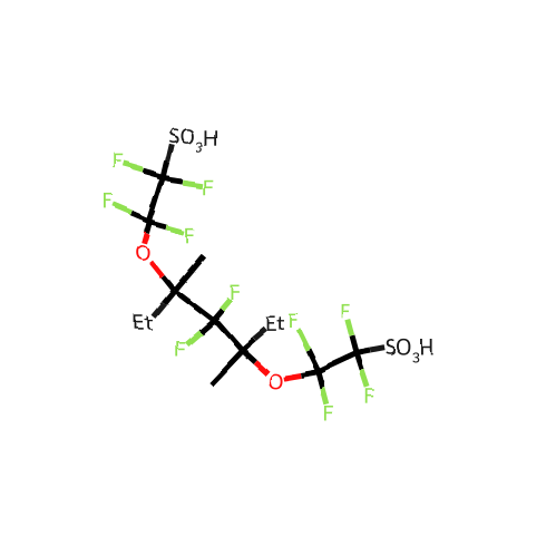 CCC(C)(OC(F)(F)C(F)(F)S(=O)(=O)O)C(F)(F)C(C)(CC)OC(F)(F)C(F)(F)S(=O)(=O)O